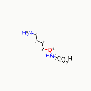 NCCCCONC(=O)O